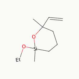 C=CC1(C)CCC[Si](C)(OCC)O1